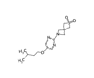 CC(C)CCOc1cnc(N2CC3(C2)CS(=O)(=O)C3)nc1